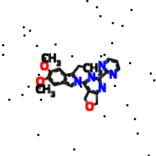 CCc1c2cc(OC)c(OC)cc2cn1-c1nc(-c2ncccn2)nc2c1COC2